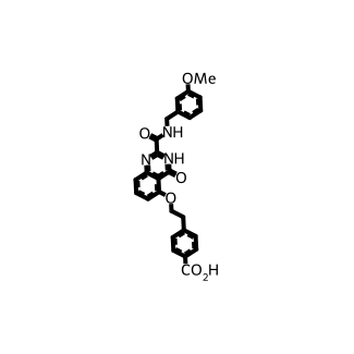 COc1cccc(CNC(=O)c2nc3cccc(OCCc4ccc(C(=O)O)cc4)c3c(=O)[nH]2)c1